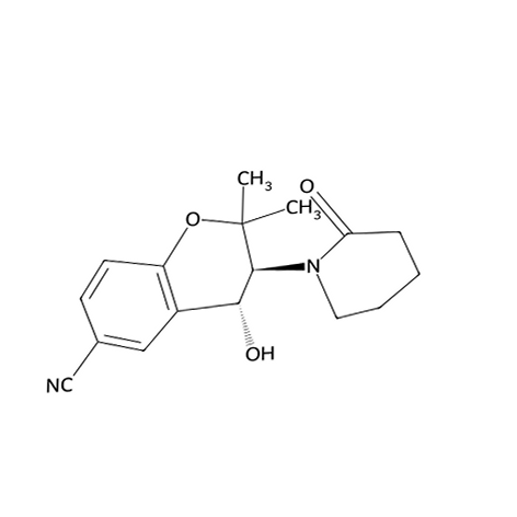 CC1(C)Oc2ccc(C#N)cc2[C@@H](O)[C@@H]1N1CCCCC1=O